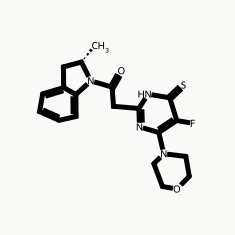 C[C@H]1Cc2ccccc2N1C(=O)Cc1nc(N2CCOCC2)c(F)c(=S)[nH]1